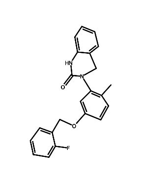 Cc1ccc(OCc2ccccc2F)cc1N1Cc2ccccc2NC1=O